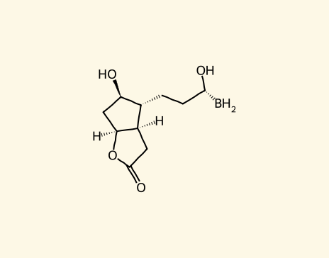 B[C@@H](O)CC[C@@H]1[C@H]2CC(=O)O[C@H]2C[C@H]1O